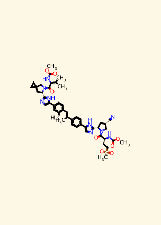 COC(=O)N[C@@H](CCS(C)(=O)=O)C(=O)N1C[C@@H](C#N)C[C@H]1c1ncc(-c2ccc(/C(C)=C/c3ccc(-c4cnc([C@@H]5CC6(CC6)CN5C(=O)[C@@H](NC(=O)OC)C(C)C)[nH]4)cc3C)cc2)[nH]1